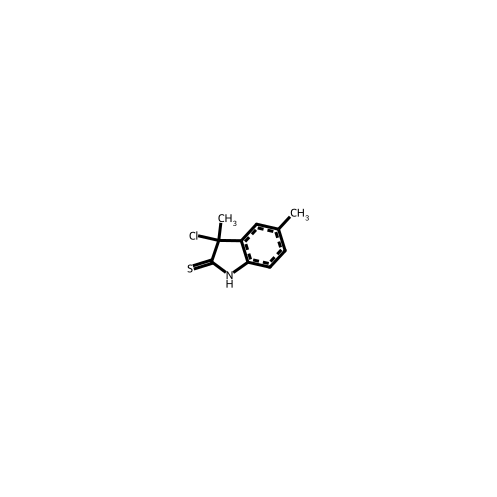 Cc1ccc2c(c1)C(C)(Cl)C(=S)N2